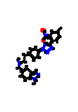 Cc1ccc(-c2nnn(-c3ccc(CCN(C)Cc4ccc5c(cnn5C)c4)cc3)n2)c([N+](=O)[O-])c1